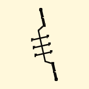 O=C=NCC(F)(F)C(F)(F)C(F)(F)CN=C=O